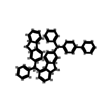 c1ccc(-c2ccc(N(c3ccccc3)c3ccc4c(c3)oc3cccc(N(c5ccccc5)c5ccc6c(c5)sc5ccccc56)c34)cc2)cc1